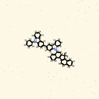 CC1(C)c2cc(-n3c4ccccc4c4cc(-c5ccc6c(c5)c5ccccc5n6-c5ccccc5)ccc43)c3ccccc3c2-c2ccc3ccccc3c21